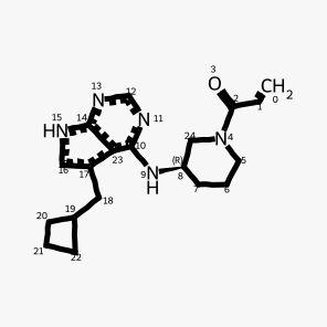 C=CC(=O)N1CCC[C@@H](Nc2ncnc3[nH]cc(CC4CCC4)c23)C1